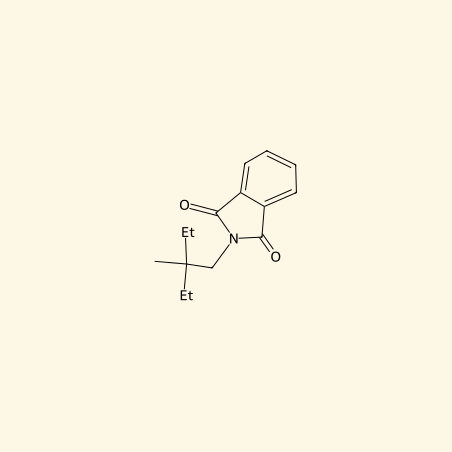 CCC(C)(CC)CN1C(=O)c2ccccc2C1=O